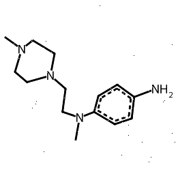 CN1CCN(CCN(C)c2ccc(N)cc2)CC1